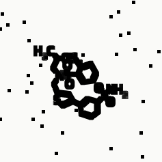 CC(C)CN(Cc1cc(-c2cccc(S(N)(=O)=O)c2)cs1)S(=O)(=O)c1ccccc1Cl